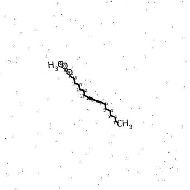 CCCCCCCC#CC#CCCCCCCCOCOC